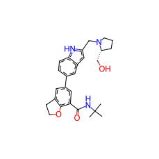 CC(C)(C)NC(=O)c1cc(-c2ccc3[nH]c(CN4CCC[C@@H]4CO)cc3c2)cc2c1OCC2